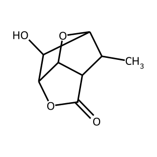 CC1C2OC3C(OC(=O)C13)C2O